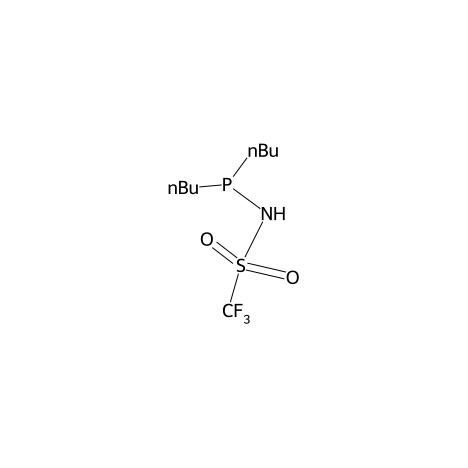 CCCCP(CCCC)NS(=O)(=O)C(F)(F)F